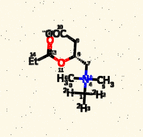 [2H]C([2H])([2H])[N+](C)(C)C[C@@H](CC(=O)[O-])OC(=O)CC